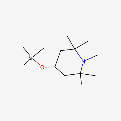 CN1C(C)(C)CC(O[Si](C)(C)C)CC1(C)C